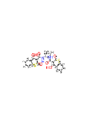 O=C(NC(NC(=O)c1c(O)c2ccccc2sc1=O)C(=O)O)c1c(O)c2ccccc2sc1=O